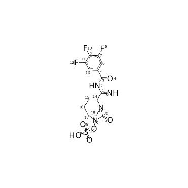 N=C(NC(=O)c1cc(F)c(F)c(F)c1)C1CCC2CN1C(=O)N2OS(=O)(=O)O